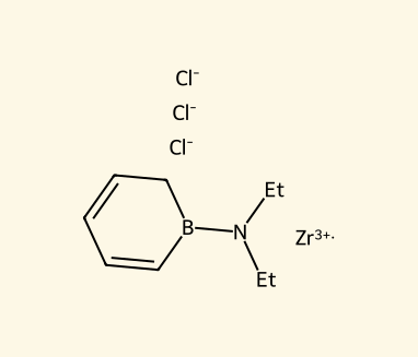 CCN(CC)B1C=CC=CC1.[Cl-].[Cl-].[Cl-].[Zr+3]